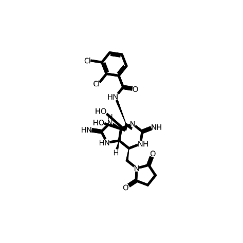 N=C1N[C@H]2[C@H](CN3C(=O)CCC3=O)NC(=N)N3C[C@H](NC(=O)c4cccc(Cl)c4Cl)C(O)(O)[C@]23N1